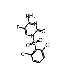 Nc1nc(=O)n(S(=O)(=O)c2c(Cl)cccc2Cl)cc1F